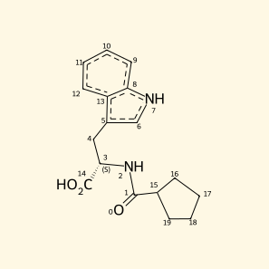 O=C(N[C@@H](Cc1c[nH]c2ccccc12)C(=O)O)C1CCCC1